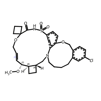 CO[C@@H]1/C=C/COC2(CCC2)C(=O)NS(=O)(=O)c2ccc3c(c2)N(CCCCc2cc(Cl)ccc2CO3)C[C@@H]2CC[C@H]21